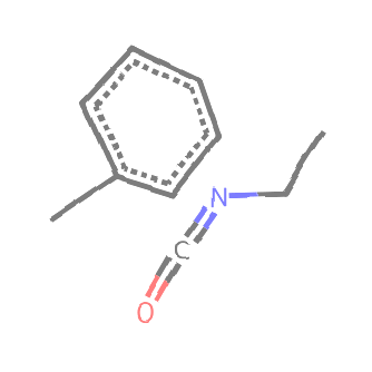 CCN=C=O.Cc1ccccc1